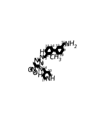 Cc1c(CNc2ncc([N+](=O)[O-])c(NCC3CCNCC3)n2)cccc1-c1cccc(CN)c1